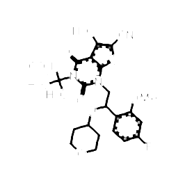 COc1cc(F)ccc1C(Cn1c(=O)n(C(C)(C)C(=O)O)c(=O)c2c(C)c(C#N)sc21)OC1CCOCC1